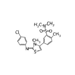 Cc1ccc(-c2csc(=Nc3ccc(Cl)cc3)n2C)cc1S(=O)(=O)N(C)C